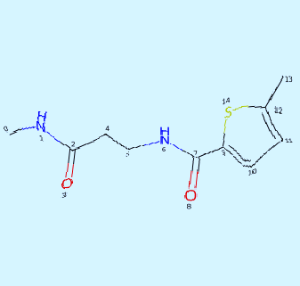 CNC(=O)CCNC(=O)c1ccc(C)s1